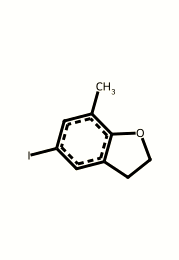 Cc1cc(I)cc2c1OCC2